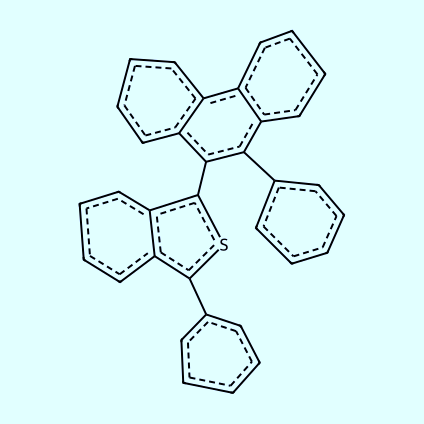 c1ccc(-c2sc(-c3c(-c4ccccc4)c4ccccc4c4ccccc34)c3ccccc23)cc1